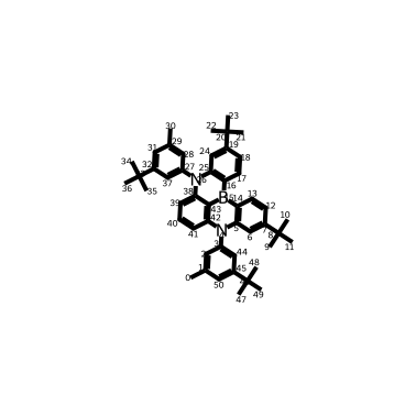 Cc1cc(N2c3cc(C(C)(C)C)ccc3B3c4ccc(C(C)(C)C)cc4N(c4cc(C)cc(C(C)(C)C)c4)c4cccc2c43)cc(C(C)(C)C)c1